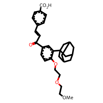 COCCOCCOc1ccc(C(=O)/C=C/c2ccc(C(=O)O)cc2)cc1C12CC3CC(CC(C3)C1)C2